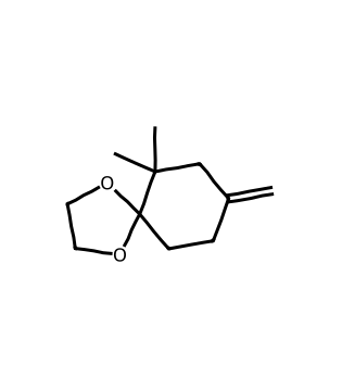 C=C1CCC2(OCCO2)C(C)(C)C1